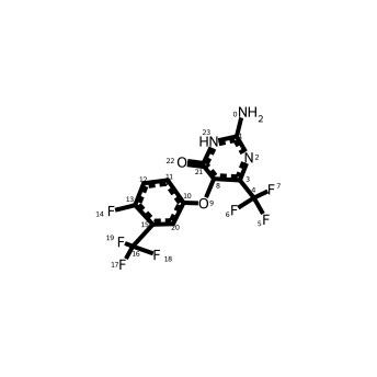 Nc1nc(C(F)(F)F)c(Oc2ccc(F)c(C(F)(F)F)c2)c(=O)[nH]1